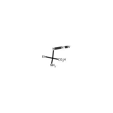 CCC(N)(N=[N+]=[N-])C(=O)O